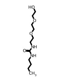 CCCCNC(=O)NCCOCCOCCO